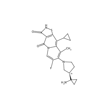 Cc1c(N2CC[C@@H](C3(N)CC3)C2)c(F)cn2c(=O)c3c(=O)[nH]sc3c(C3CC3)c12